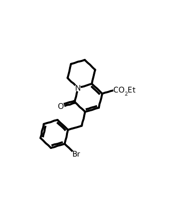 CCOC(=O)c1cc(Cc2ccccc2Br)c(=O)n2c1CCCC2